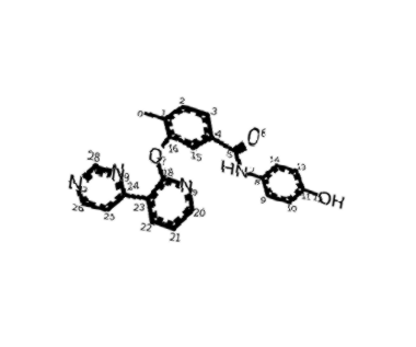 Cc1ccc(C(=O)Nc2ccc(O)cc2)cc1Oc1ncccc1-c1ccncn1